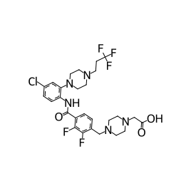 O=C(O)CN1CCN(Cc2ccc(C(=O)Nc3ccc(Cl)cc3N3CCN(CCC(F)(F)F)CC3)c(F)c2F)CC1